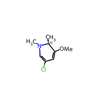 COC1=CC(Cl)=CN(C)[C@H]1C